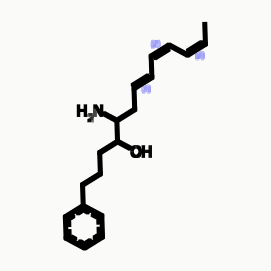 C\C=C/C=C\C=C\CC(N)C(O)CCCc1ccccc1